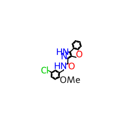 COc1ccc(Cl)cc1CNC(=O)c1n[nH]c2c1COc1ccccc1-2